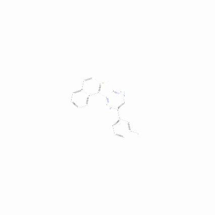 Clc1cccc(-c2cnc3sc4ccc5ccccc5c4c3n2)c1